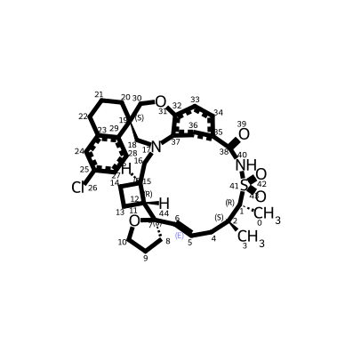 C[C@@H]1[C@@H](C)C/C=C/[C@]2(CCCO2)[C@@H]2CC[C@H]2CN2C[C@@]3(CCCc4cc(Cl)ccc43)COc3ccc(cc32)C(=O)NS1(=O)=O